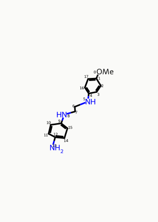 COc1ccc(NCCNc2ccc(N)cc2)cc1